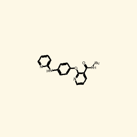 CC[C@H](C)NC(=O)c1cccnc1Oc1ccc(Nc2ccccn2)cc1